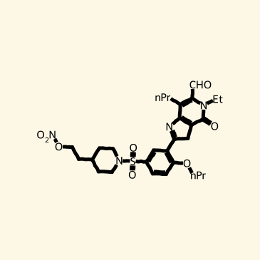 CCCOc1ccc(S(=O)(=O)N2CCC(CCO[N+](=O)[O-])CC2)cc1C1=Nc2c(CCC)c(C=O)n(CC)c(=O)c2C1